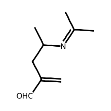 C=C(C=O)CC(C)N=C(C)C